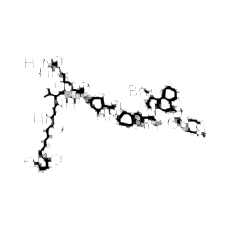 CC(C)[C@H](NCCNC(=O)CCCCCN1C(=O)C=CC1=O)C(=O)N[C@@H](CCCNC(N)=O)C(=O)Nc1ccc(C(=O)Nc2ccc3[nH]c(C(=O)N4C[C@@H](CBr)c5c4cc(OC(=O)N4CCN(C)CC4)c4ccccc54)cc3c2)cc1